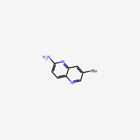 CC(C)(C)c1cnc2ccc(N)nc2c1